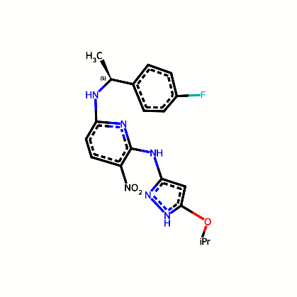 CC(C)Oc1cc(Nc2nc(N[C@@H](C)c3ccc(F)cc3)ccc2[N+](=O)[O-])n[nH]1